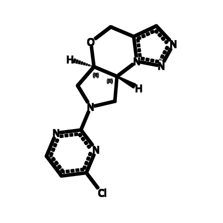 Clc1ccnc(N2C[C@@H]3[C@@H](C2)OCc2cnnn23)n1